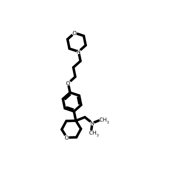 CN(C)CC1(c2ccc(OCCCN3CCOCC3)cc2)CCOCC1